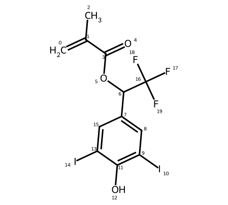 C=C(C)C(=O)OC(c1cc(I)c(O)c(I)c1)C(F)(F)F